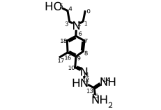 CCN(CCO)c1ccc(/C=N/NC(=N)N)c(C)c1